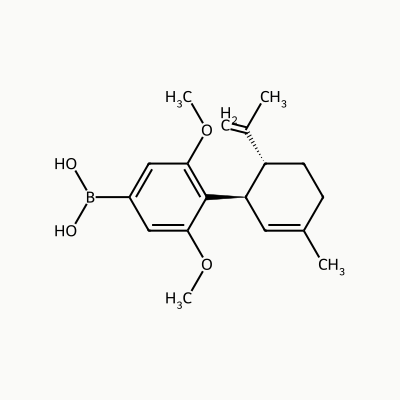 C=C(C)[C@@H]1CCC(C)=C[C@H]1c1c(OC)cc(B(O)O)cc1OC